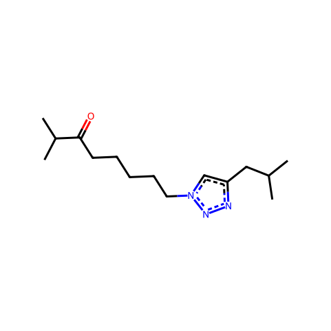 CC(C)Cc1cn(CCCCCC(=O)C(C)C)nn1